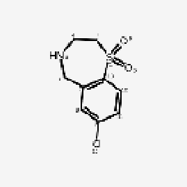 O=S1(=O)CCNCc2cc(Cl)ccc21